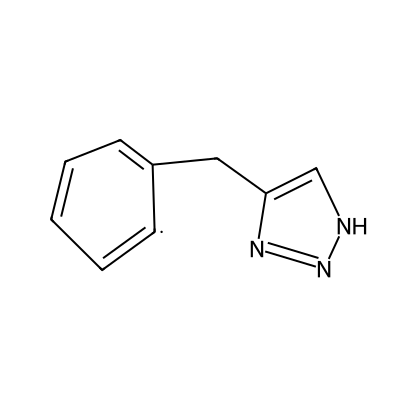 [c]1ccccc1Cc1c[nH]nn1